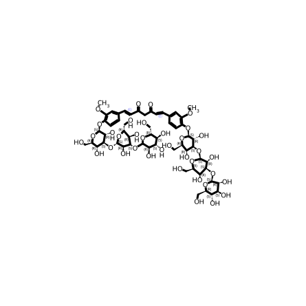 COc1cc(/C=C/C(=O)CC(=O)/C=C/c2ccc(O[C@@H]3O[C@H](CO)[C@@H](O)[C@H](O[C@@H]4O[C@H](CO)[C@@H](O)[C@H](O[C@@H]5O[C@H](CO)[C@@H](O)[C@H](O)[C@H]5O)[C@H]4O)[C@H]3O)c(OC)c2)ccc1O[C@@H]1O[C@H](CO)[C@@H](O)[C@H](O[C@@H]2O[C@H](CO)[C@@H](O)[C@H](OC3O[C@H](CO)[C@@H](O)[C@H](O)[C@H]3O)[C@H]2O)[C@H]1O